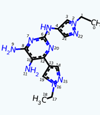 CCn1cc(Nc2nc(N)c(N)c(-c3cnn(CC)c3)n2)cn1